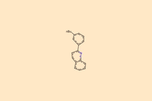 CCCCc1[c]ccc(-c2ccc3ccccc3n2)c1